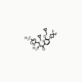 Cc1nc([C@H](CC2CC2)N(C)C(=O)c2ccc(N3CC(F)(F)C3)c(OCC3CC3)n2)no1